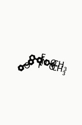 COC(OC)C1CCN(c2c(F)cc(C3=CCCc4cc(OCc5ccccc5)ccc43)cc2F)CC1